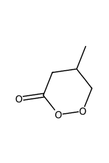 CC1COOC(=O)C1